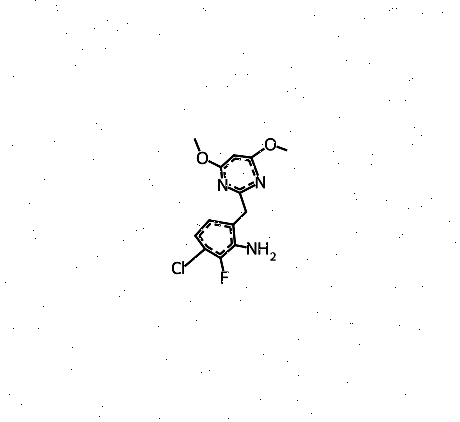 COc1cc(OC)nc(Cc2ccc(Cl)c(F)c2N)n1